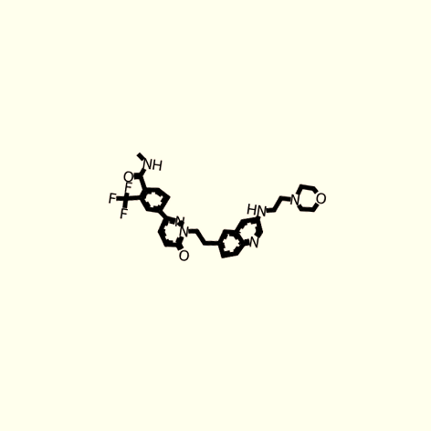 CNC(=O)c1ccc(-c2ccc(=O)n(CCc3ccc4ncc(NCCN5CCOCC5)cc4c3)n2)cc1C(F)(F)F